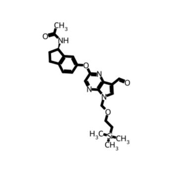 CC(=O)N[C@@H]1CCc2ccc(Oc3cnc4c(n3)c(C=O)cn4COCC[Si](C)(C)C)cc21